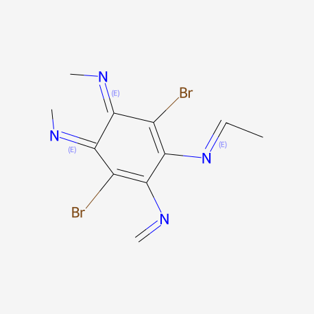 C=NC1=C(Br)C(=N/C)/C(=N\C)C(Br)=C1/N=C/C